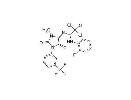 CN1C(=O)N(c2cccc(C(F)(F)F)c2)C(=O)C1=NC(Nc1ccccc1F)C(Cl)(Cl)Cl